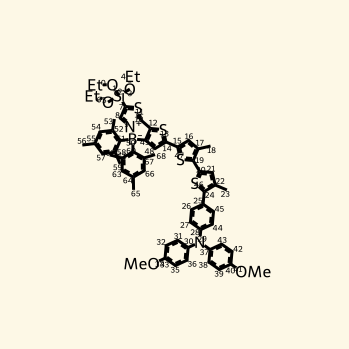 CCO[Si](OCC)(OCC)c1c[n+]2c(s1)-c1sc(-c3cc(C)c(-c4cc(C)c(-c5ccc(N(c6ccc(OC)cc6)c6ccc(OC)cc6)cc5)s4)s3)cc1[B-]2(c1c(C)cc(C)cc1C)c1c(C)cc(C)cc1C